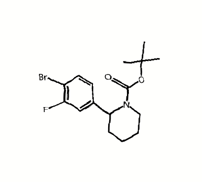 CC(C)(C)OC(=O)N1CCCCC1c1ccc(Br)c(F)c1